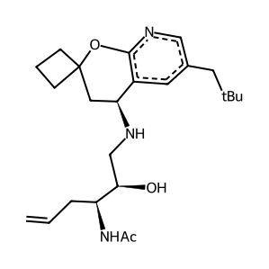 C=CC[C@H](NC(C)=O)[C@H](O)CN[C@H]1CC2(CCC2)Oc2ncc(CC(C)(C)C)cc21